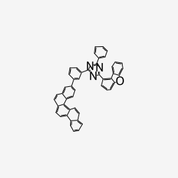 c1ccc(-c2nc(-c3cccc(-c4ccc5c(ccc6ccc7c8ccccc8ccc7c65)c4)c3)nc(-c3cccc4oc5ccccc5c34)n2)cc1